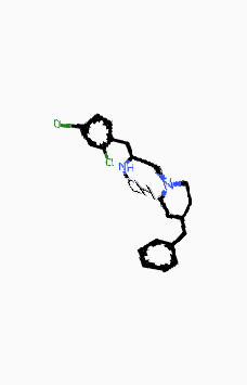 CNC(Cc1ccc(Cl)cc1Cl)CN1CCC(Cc2ccccc2)CC1